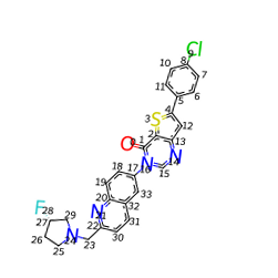 O=c1c2sc(-c3ccc(Cl)cc3)cc2ncn1-c1ccc2nc(CN3CC[C@H](F)C3)ccc2c1